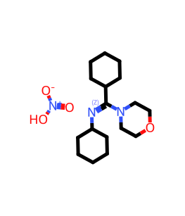 C1CCC(/N=C(/C2CCCCC2)N2CCOCC2)CC1.O=[N+]([O-])O